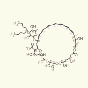 COC(=O)[C@H]1C2C[C@@H](O[C@@H]3O[C@H](C)[C@@H](O)[C@H](N(CCCN)CCCN)[C@@H]3O)/C=C/C=C/C=C/C=C/C=C/C=C/C=C/[C@H](C)[C@@H](O)[C@@H](C)[C@H](C)OC(=O)C[C@H](O)C[C@H](O)CC[C@@H](O)[C@H](O)C[C@H](O)C[C@](O)(C[C@@H]1O)O2